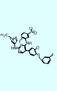 Cn1cc(Nc2ncc(-c3ccc(OCc4cccc(F)c4)c(Cl)c3)c(Nc3cc([N+](=O)[O-])ccc3F)n2)cn1